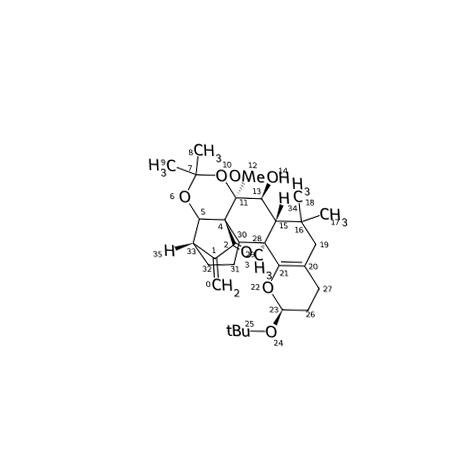 C=C1C(=O)[C@@]23C4OC(C)(C)O[C@@]2(OC)[C@@H](O)[C@@H]2C(C)(C)CC5=C(O[C@H](OC(C)(C)C)CC5)[C@@]2(C)C3CC[C@@H]14